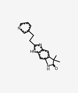 CC1(C)C(=O)Nc2cc3[nH]c(CCc4cccnc4)nc3cc21